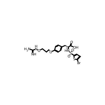 N=C(N)NOCCCOc1ccc(C[C@H](NS(=O)(=O)c2ccc(Br)s2)C(=O)O)cc1